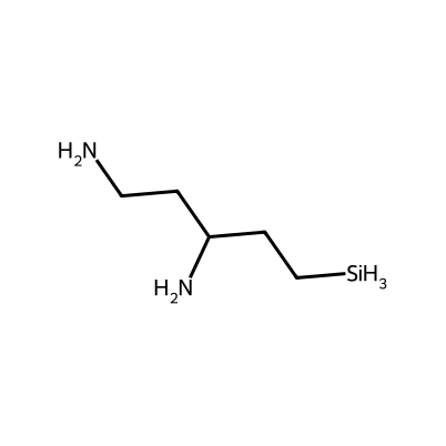 NCCC(N)CC[SiH3]